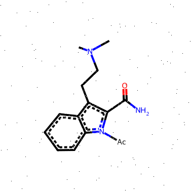 CC(=O)n1c(C(N)=O)c(CCN(C)C)c2c[c]ccc21